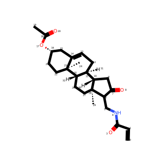 C=CC(=O)NCC1C(=O)C[C@H]2[C@@H]3CC=C4C[C@@H](OC(C)=O)CC[C@]4(C)[C@H]3CC[C@]12C